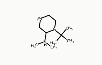 C[SiH](C)C1CNCCN1C(C)(C)C